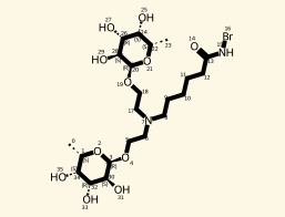 C[C@@H]1O[C@@H](OCCN(CCCCCC(=O)NBr)CCO[C@@H]2O[C@@H](C)[C@@H](O)[C@@H](O)[C@@H]2O)[C@@H](O)[C@H](O)[C@@H]1O